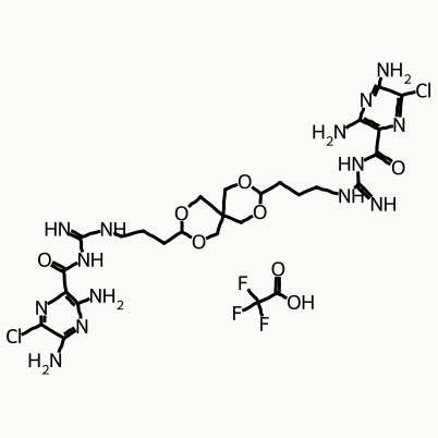 N=C(NCCCC1OCC2(CO1)COC(CCCNC(=N)NC(=O)c1nc(Cl)c(N)nc1N)OC2)NC(=O)c1nc(Cl)c(N)nc1N.O=C(O)C(F)(F)F